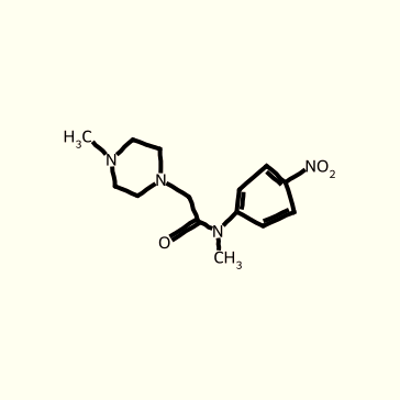 CN1CCN(CC(=O)N(C)c2ccc([N+](=O)[O-])cc2)CC1